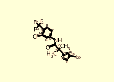 CC(C)(C(=O)Nc1ccc(C(F)(F)F)c(Cl)c1)n1cc(I)cn1